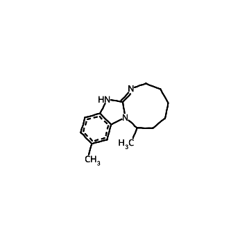 Cc1ccc2c(c1)N1/C(=N\CCCCCC1C)N2